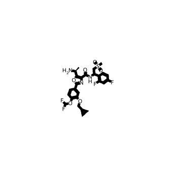 C[C@H](N)c1oc(-c2ccc(OC(F)F)c(OCC3CC3)c2)nc1C(=O)NC(CS(C)(=O)=O)c1ccc(F)cc1F